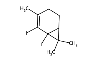 CC1=C(I)C2(I)C(CC1)C2(C)C